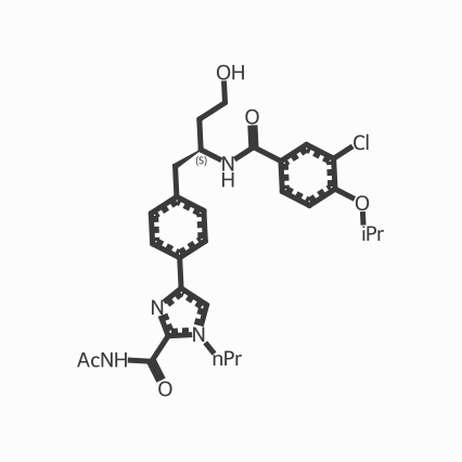 CCCn1cc(-c2ccc(C[C@@H](CCO)NC(=O)c3ccc(OC(C)C)c(Cl)c3)cc2)nc1C(=O)NC(C)=O